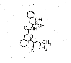 CC(C)C=C(C#N)C(=O)N1CCCC[C@H]1CCC(=O)NC(Cc1ccccc1)B(O)O